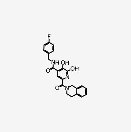 O=C(NCc1ccc(F)cc1)c1cc(C(=O)N2CCc3ccccc3C2)nc(O)c1O